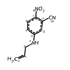 C=CCNc1ccc([N+](=O)[O-])c(C#N)c1